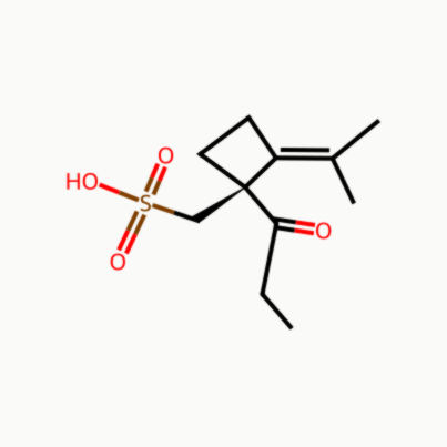 CCC(=O)[C@]1(CS(=O)(=O)O)CCC1=C(C)C